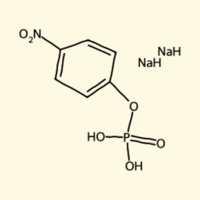 O=[N+]([O-])c1ccc(OP(=O)(O)O)cc1.[NaH].[NaH]